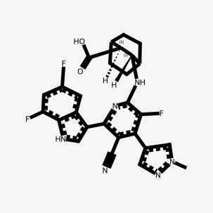 Cn1cc(-c2c(F)c(N[C@H]3C4CCC(CC4)[C@@H]3C(=O)O)nc(-c3c[nH]c4c(F)cc(F)cc34)c2C#N)cn1